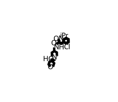 CC(C)n1c(=O)c(C(=O)NCC2CCN(CC3(O)CCOCC3)CC2)cc2c(Cl)cccc21